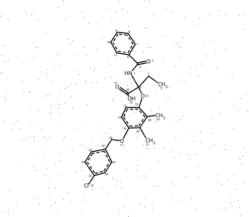 CCC(NC(=O)c1ccccc1)(Oc1ccc(OCc2ccc(Cl)cc2)c(C)c1C)C(=O)O